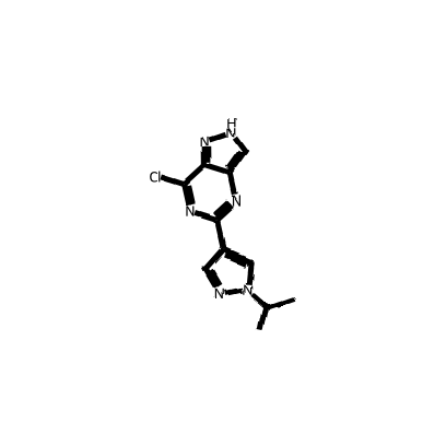 CC(C)n1cc(-c2nc(Cl)c3n[nH]cc3n2)cn1